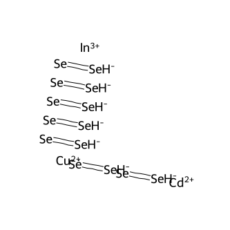 [Cd+2].[Cu+2].[In+3].[Se]=[SeH-].[Se]=[SeH-].[Se]=[SeH-].[Se]=[SeH-].[Se]=[SeH-].[Se]=[SeH-].[Se]=[SeH-]